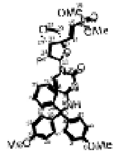 COc1ccc(C(Nc2ccn([C@@H]3O[C@@](/C=C/P(=O)(OC)OC)(CCl)[C@@H](C)[C@H]3F)c(=O)n2)(c2ccccc2)c2ccc(OC)cc2)cc1